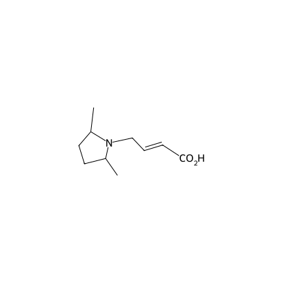 CC1CCC(C)N1CC=CC(=O)O